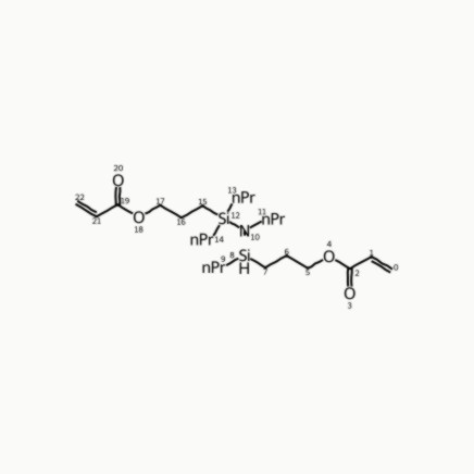 C=CC(=O)OCCC[SiH](CCC)N(CCC)[Si](CCC)(CCC)CCCOC(=O)C=C